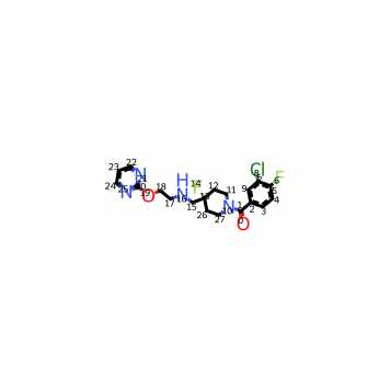 O=C(c1ccc(F)c(Cl)c1)N1CCC(F)(CNCCOc2ncccn2)CC1